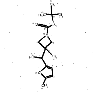 Cc1ccc(C(O)C2(C)CN(C(=O)OC(C)(C)C)C2)o1